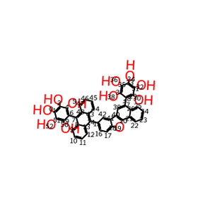 Oc1c(O)c(O)c(-c2c3ccccc3c(-c3ccc4oc5c6ccccc6c(-c6c(O)c(O)c(O)c(O)c6O)cc5c4c3)c3ccccc23)c(O)c1O